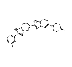 Cc1cccc(-c2nc3cc(-c4nc5cc(N6CCN(C)CC6)ccc5[nH]4)ccc3[nH]2)n1